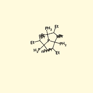 CCCC(CC)C(P)(CCC)P(C(P)(CCC)C(CC)CCC)C(P)(CCC)C(CC)CCC